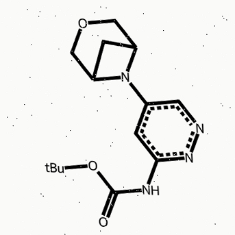 CC(C)(C)OC(=O)Nc1cc(N2C3COCC2C3)cnn1